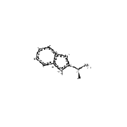 C[C@H](N)c1nc2ccccc2[nH]1